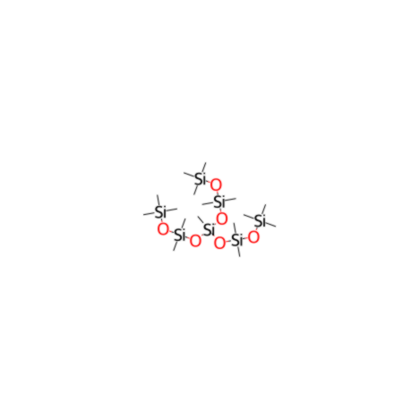 C[Si](C)(C)O[Si](C)(C)O[Si](C)(O[Si](C)(C)O[Si](C)(C)C)O[Si](C)(C)O[Si](C)(C)C